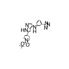 Cn1cnnc1-c1cccc(Nc2ccnc3[nH]c(C4=CCN(C(=O)OC(C)(C)C)CC4)cc23)c1